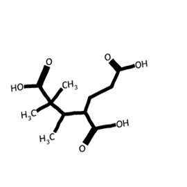 CC(C(CCC(=O)O)C(=O)O)C(C)(C)C(=O)O